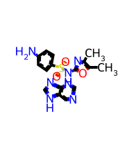 Cc1nc(NS(=O)(=O)c2ccc(N)cc2)oc1C.c1ncc2[nH]cnc2n1